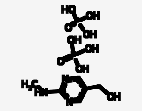 CNc1ncc(CO)cn1.O=P(O)(O)O.O=P(O)(O)O